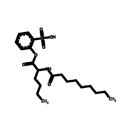 CCCCCCCCC(=O)NC(CCCC)C(=O)Oc1ccccc1S(=O)(=O)O